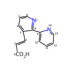 O=C(O)C=Cc1cccnc1-c1ccccn1